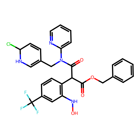 O=C(OCc1ccccc1)C(C(=O)N(CC1=CNC(Cl)C=C1)c1ccccn1)c1ccc(C(F)(F)F)cc1NO